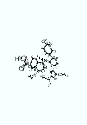 Cn1ccc(C(F)F)n1.NC(=O)c1cc(C(=O)O)ccc1C(=O)Nc1ccccc1-c1ccc(Cl)cc1